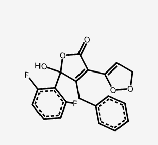 O=C1OC(O)(c2c(F)cccc2F)C(Cc2ccccc2)=C1C1=CCOO1